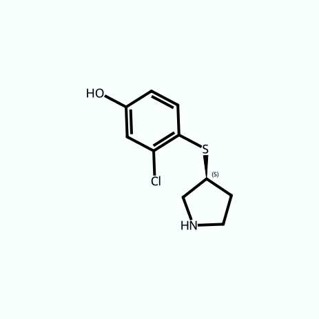 Oc1ccc(S[C@H]2CCNC2)c(Cl)c1